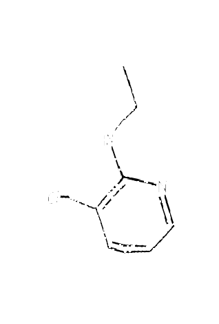 CCNc1ncc[c]c1Cl